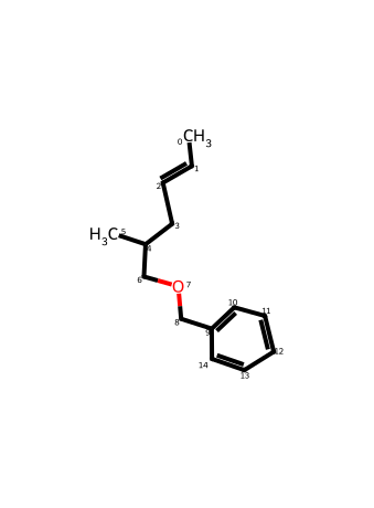 CC=CCC(C)COCc1ccccc1